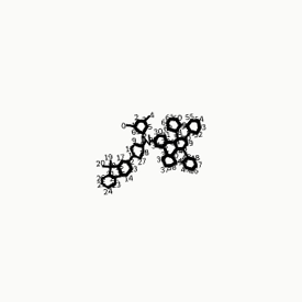 Cc1cc(C)cc(N(C2=CCC(c3ccc4c(c3)C(C)(C)C3=C4C=CCC3)C=C2)c2ccc3c(c2)c2ccccc2c2c(-c4ccccc4)cc(-c4ccccc4)c(-c4ccccc4)c32)c1